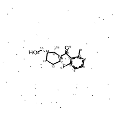 Cc1cccc(F)c1C(=O)N1CCC[C@H](CO)[C@@H]1C